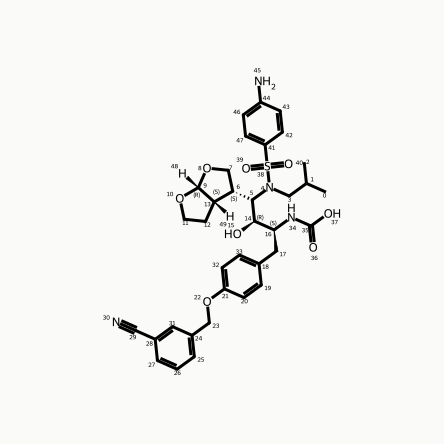 CC(C)CN(C([C@H]1CO[C@H]2OCC[C@H]21)[C@H](O)[C@H](Cc1ccc(OCc2cccc(C#N)c2)cc1)NC(=O)O)S(=O)(=O)c1ccc(N)cc1